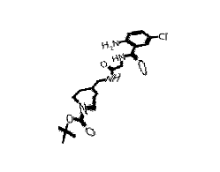 CC(C)(C)OC(=O)N1CCC(CNC(=O)CNC(=O)c2cc(Cl)ccc2N)CC1